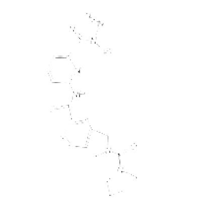 CC(C)n1nnnc1-c1cccc(NC(=O)c2ccc3c(c2)CN(C(=O)N2CCCC2)C3)n1